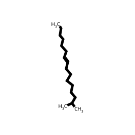 CCCCCCC=CCCCCCCC(C)C